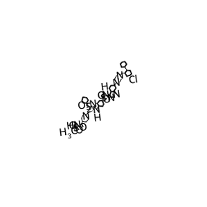 CS(=O)(=O)NC(=O)C1CCN(CC[C@H](CSc2ccccc2)Nc2ccc(S(=O)(=O)Nc3ncnc4cc(N5CCN(Cc6cc(Cl)ccc6-c6ccccc6)CC5)ccc34)cc2[N+](=O)[O-])CC1